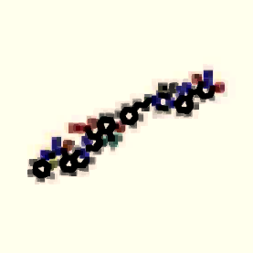 Cn1nc(C2CCC(=O)NC2=O)c2cccc(N3CCN(CCCC4CCC(Oc5cccc(-c6ccc(N7CCc8cccc(C(=O)Nc9nc%10ccccc%10s9)c8C7)nc6C(=O)O)c5C(F)(F)F)CC4)CC3)c21